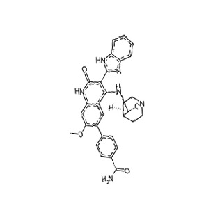 COc1cc2[nH]c(=O)c(-c3nc4ccccc4[nH]3)c(N[C@H]3CN4CCC3CC4)c2cc1-c1ccc(C(N)=O)cc1